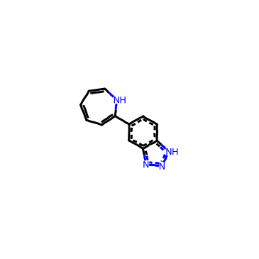 C1=CC=C(c2ccc3[nH]nnc3c2)NC=C1